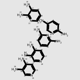 Nc1ccc(N)nc1.Nc1cccc(N)n1.Nc1cccnc1N.Nc1ccncc1N.Nc1ccncc1N